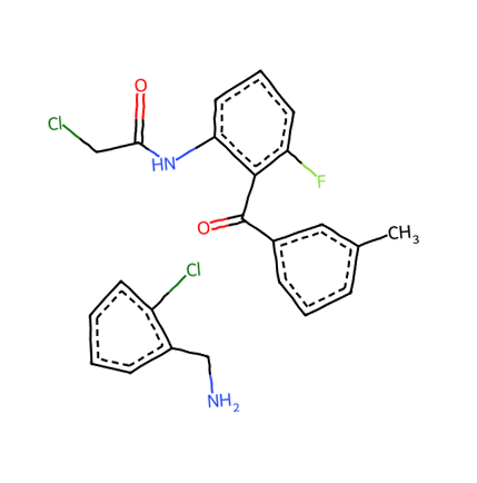 Cc1cccc(C(=O)c2c(F)cccc2NC(=O)CCl)c1.NCc1ccccc1Cl